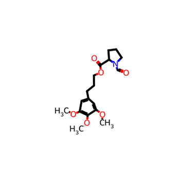 COc1cc(CCCOC(=O)C2CCCN2C=O)cc(OC)c1OC